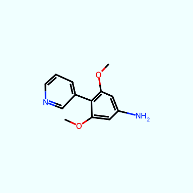 COc1cc(N)cc(OC)c1-c1cccnc1